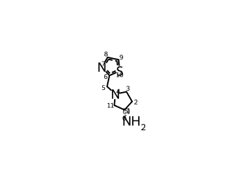 N[C@H]1CCN(Cc2nccs2)C1